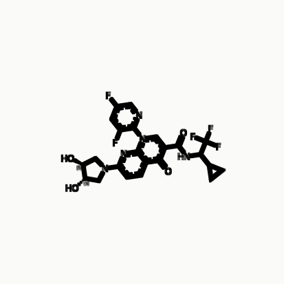 O=C(NC(C1CC1)C(F)(F)F)c1cn(-c2ncc(F)cc2F)c2nc(N3C[C@H](O)[C@@H](O)C3)ccc2c1=O